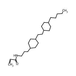 C=CC(=O)NCCCC1CCC(CCC2CCC(CCCCC)CC2)CC1